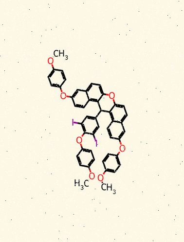 COc1ccc(Oc2ccc3c4c(ccc3c2)Oc2ccc3cc(Oc5ccc(OC)cc5)ccc3c2C4c2cc(I)c(Oc3ccc(OC)cc3)c(I)c2)cc1